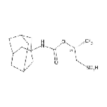 O=C(NC12CC3CC(CC(C3)C1)C2)O[C@@H](CS(=O)(=O)O)C(F)(F)F